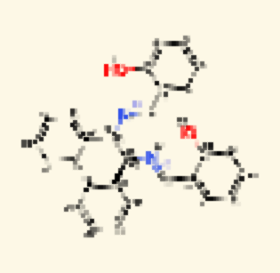 Oc1ccccc1/C=N/[C@@H](c1ccccc1)[C@@H](/N=C/c1ccccc1O)c1ccccc1